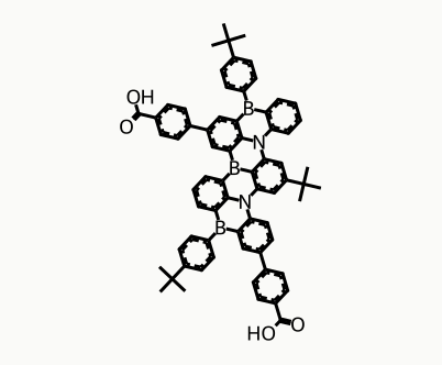 CC(C)(C)c1ccc(B2c3cc(-c4ccc(C(=O)O)cc4)ccc3N3c4cc(C(C)(C)C)cc5c4B(c4cccc2c43)c2cc(-c3ccc(C(=O)O)cc3)cc3c2N5c2ccccc2B3c2ccc(C(C)(C)C)cc2)cc1